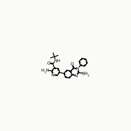 CC(C)(C)NC(=O)c1cc(-c2ccc3nc(N)n(-c4ccccc4)c(=O)c3c2)cnc1N